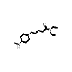 CCN(CC)C(=O)CCCC[C@H]1CC[C@H](NC)CC1